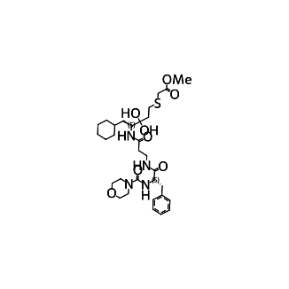 COC(=O)CSCCC(O)(O)[C@H](CC1CCCCC1)NC(=O)CCNC(=O)[C@H](Cc1ccccc1)NC(=O)N1CCOCC1